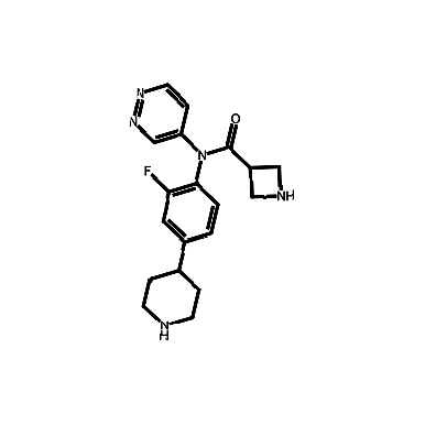 O=C(C1CNC1)N(c1ccnnc1)c1ccc(C2CCNCC2)cc1F